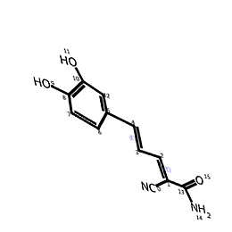 N#C/C(=C\C=C\c1ccc(O)c(O)c1)C(N)=O